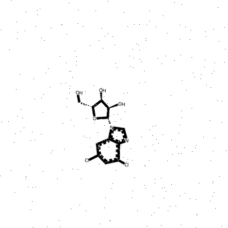 OC[C@H]1O[C@@H](n2cnc3c(Cl)cc(Cl)cc32)[C@H](O)[C@@H]1O